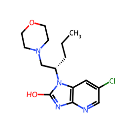 CCC[C@@H](CN1CCOCC1)n1c(O)nc2ncc(Cl)cc21